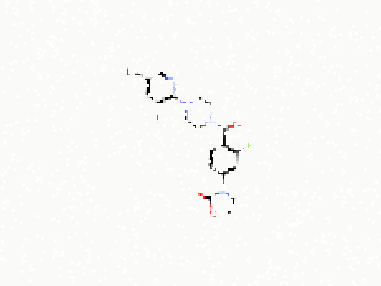 CCc1cnc(N2CCN(C(=O)c3ccc(N4CCOC4=O)cc3F)CC2)c(C)c1